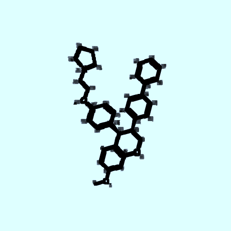 COc1ccc2c(c1)OC[C@H](c1ccc(-c3ccccc3)cc1)[C@@H]2c1ccc(OCCN2CCCC2)cc1